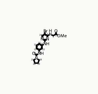 COC(=O)CNc1nc(Nc2cccc(NC(=O)N3CCCC3)c2)ncc1Br